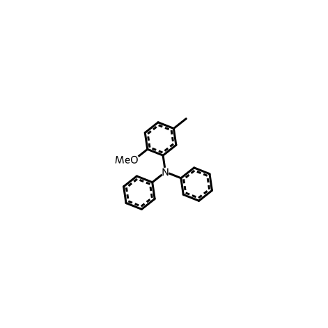 COc1ccc(C)cc1N(c1ccccc1)c1ccccc1